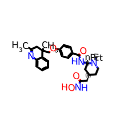 CCC[C@@]1(NC(=O)c2ccc(OCC3(C)CC(C)=Nc4ccccc43)cc2)C[C@H](CC(=O)NO)CCN1CC